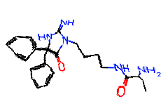 CC(N)C(=O)NCCCCN1C(=N)NC(c2ccccc2)(c2ccccc2)C1=O